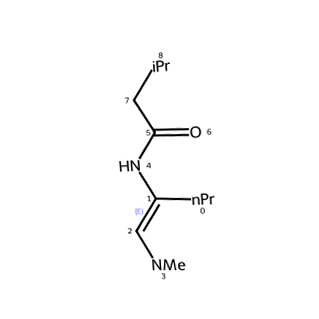 CCC/C(=C\NC)NC(=O)CC(C)C